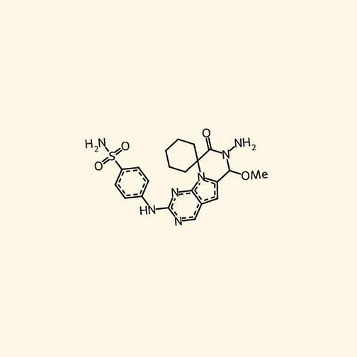 COC1c2cc3cnc(Nc4ccc(S(N)(=O)=O)cc4)nc3n2C2(CCCCC2)C(=O)N1N